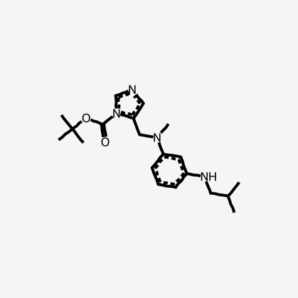 CC(C)CNc1cccc(N(C)Cc2cncn2C(=O)OC(C)(C)C)c1